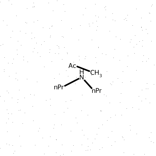 CC(C)=O.CCCNCCC